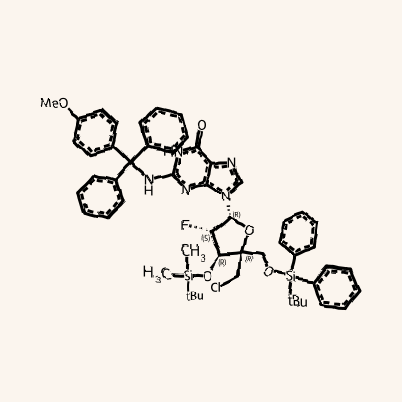 COc1ccc(C(Nc2nc3c(ncn3[C@@H]3O[C@](CCl)(CO[Si](c4ccccc4)(c4ccccc4)C(C)(C)C)[C@@H](O[Si](C)(C)C(C)(C)C)[C@@H]3F)c(=O)[nH]2)(c2ccccc2)c2ccccc2)cc1